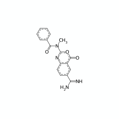 CN(C(=O)c1ccccc1)c1nc2ccc(C(=N)N)cc2c(=O)o1